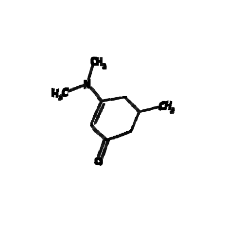 CC1CC(=O)C=C(N(C)C)C1